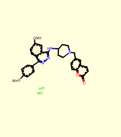 COc1ccc(-c2nnc(NC3CCN(Cc4ccc5oc(=O)ccc5c4)CC3)c3cc(OC)ccc23)cc1.Cl.Cl